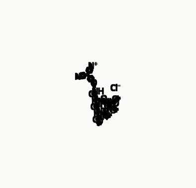 CN(C)c1ccc(C(=C2C=CC(=[N+](C)C)C=C2)c2ccc(OCCCNC(=O)COC(CNC(=O)COC(CNC(=O)OC(C)(C)C)CNC(=O)OC(C)(C)C)CNC(=O)COC(CNC(=O)OC(C)(C)C)CNC(=O)OC(C)(C)C)cc2)cc1.[Cl-]